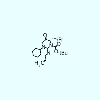 C=CCN=C1N(C2CCCCC2)CC(=O)[C@H](CC(C)C)N1C(=O)OC(C)(C)C